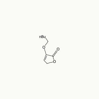 CCCCCOC1=CCOC1=O